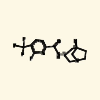 O=C(N[C@@H]1C[C@@H]2CCN(C2)C1)c1ccc(C(F)(F)F)c(F)n1